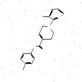 Cc1cccnc1N1CC=C(C(=O)Nc2ccc(C(C)C)cc2)CC1